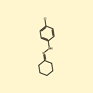 Clc1ccc(NN=C2CCCCC2)cc1